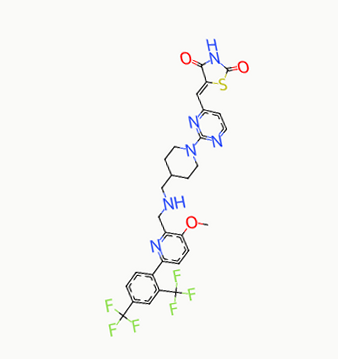 COc1ccc(-c2ccc(C(F)(F)F)cc2C(F)(F)F)nc1CNCC1CCN(c2nccc(/C=C3\SC(=O)NC3=O)n2)CC1